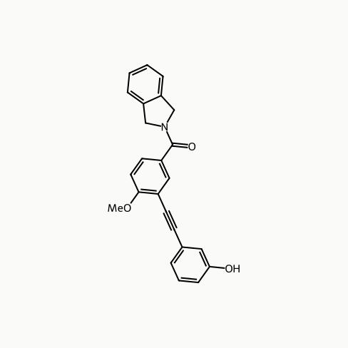 COc1ccc(C(=O)N2Cc3ccccc3C2)cc1C#Cc1cccc(O)c1